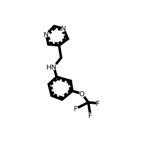 FC(F)(F)Oc1cccc(NCc2cncnc2)c1